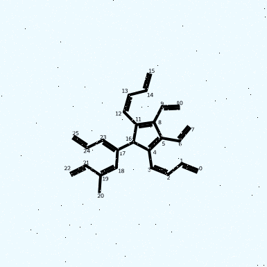 C=C/C=C\C1=C(C=C)C(C=C)=C(/C=C\C=C)C1C(/C=C(/C)C=C)=C/C=C